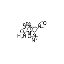 CCCCOc1c(C(N)=O)nc2c(N3CCN(C)C3=O)cc(N3CCOCC3)cn2c1=O